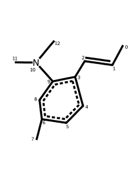 CC=Cc1ccc(C)cc1N(C)C